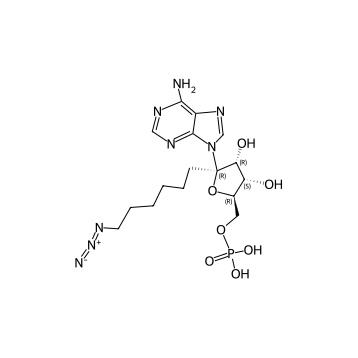 [N-]=[N+]=NCCCCCC[C@@]1(n2cnc3c(N)ncnc32)O[C@H](COP(=O)(O)O)[C@@H](O)[C@H]1O